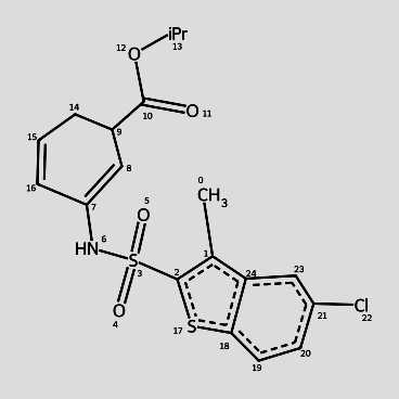 Cc1c(S(=O)(=O)NC2=CC(C(=O)OC(C)C)CC=C2)sc2ccc(Cl)cc12